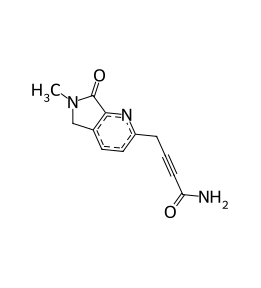 CN1Cc2ccc(CC#CC(N)=O)nc2C1=O